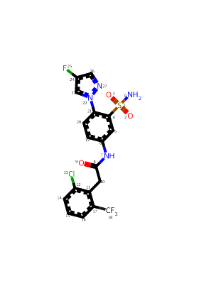 NS(=O)(=O)c1cc(NC(=O)Cc2c(Cl)cccc2C(F)(F)F)ccc1-n1cc(F)cn1